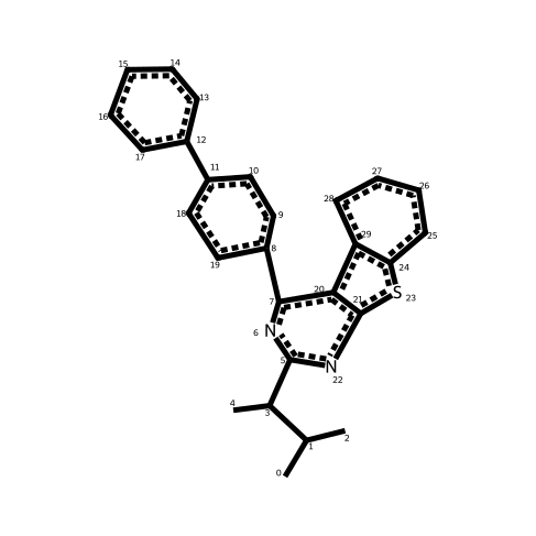 CC(C)C(C)c1nc(-c2ccc(-c3ccccc3)cc2)c2c(n1)sc1ccccc12